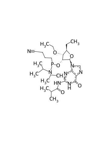 CCO[C@H]1[C@@H](OP(CCCC#N)N(C(C)C)C(C)C)[C@H](n2cnc3c(=O)[nH]c(NC(=O)C(C)C)nc32)O[C@@H]1CC